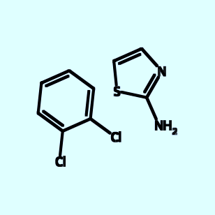 Clc1ccccc1Cl.Nc1nccs1